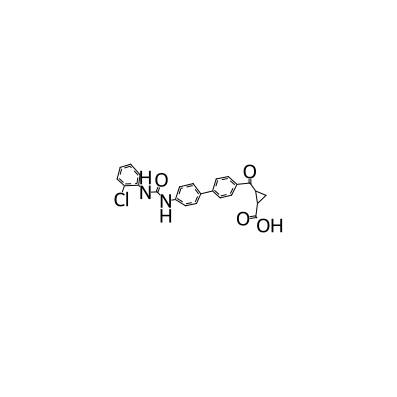 O=C(Nc1ccc(-c2ccc(C(=O)C3CC3C(=O)O)cc2)cc1)Nc1ccccc1Cl